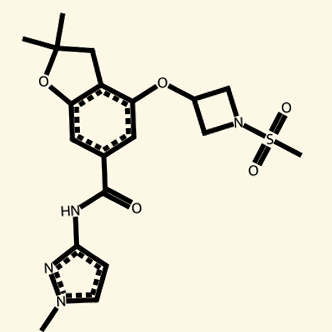 Cn1ccc(NC(=O)c2cc(OC3CN(S(C)(=O)=O)C3)c3c(c2)OC(C)(C)C3)n1